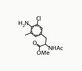 COC(=O)C(Cc1cc(C)c(N)c(Cl)c1)NC(C)=O